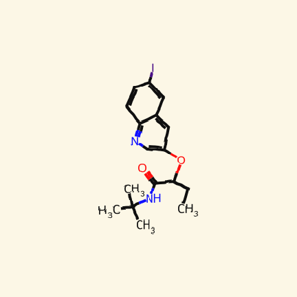 CCC(Oc1cnc2ccc(I)cc2c1)C(=O)NC(C)(C)C